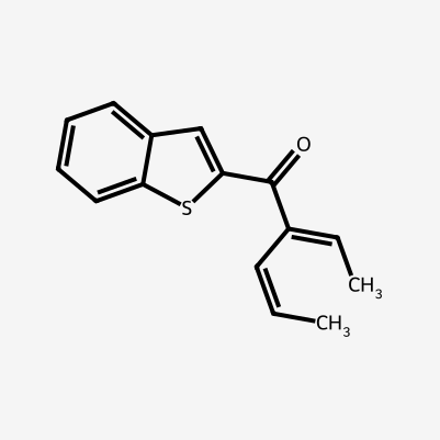 C/C=C\C(=C/C)C(=O)c1cc2ccccc2s1